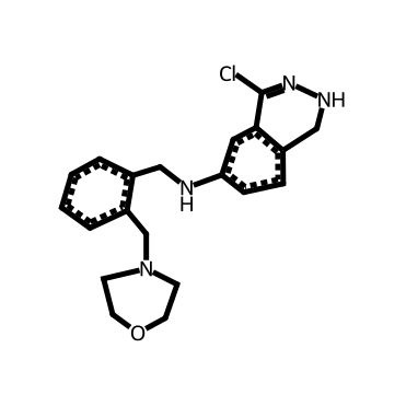 ClC1=NNCc2ccc(NCc3ccccc3CN3CCOCC3)cc21